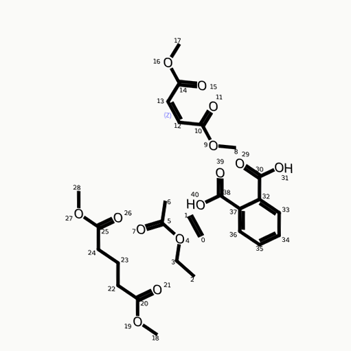 C=C.CCOC(C)=O.COC(=O)/C=C\C(=O)OC.COC(=O)CCCC(=O)OC.O=C(O)c1ccccc1C(=O)O